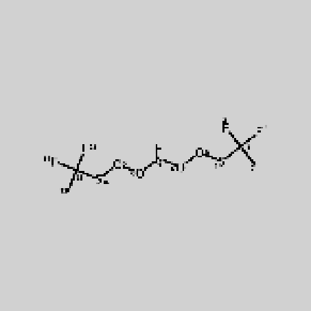 CC(F)(F)SOONOOSC(C)(F)F